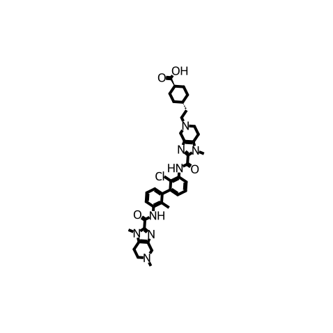 Cc1c(NC(=O)c2nc3c(n2C)CCN(C)C3)cccc1-c1cccc(NC(=O)c2nc3c(n2C)CCN(CC[C@H]2CC[C@H](C(=O)O)CC2)C3)c1Cl